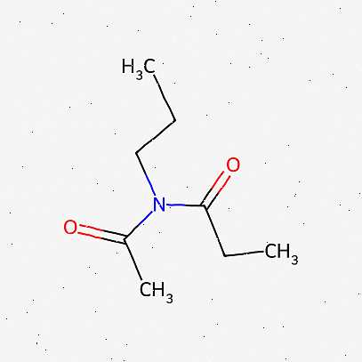 CCCN(C(C)=O)C(=O)CC